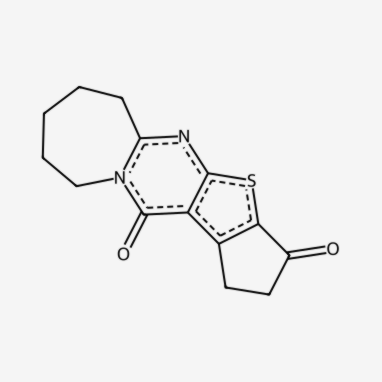 O=C1CCc2c1sc1nc3n(c(=O)c21)CCCCC3